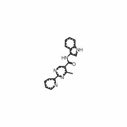 Cc1nc(-c2ccccn2)ncc1C(=O)Nc1c[nH]c2ccccc12